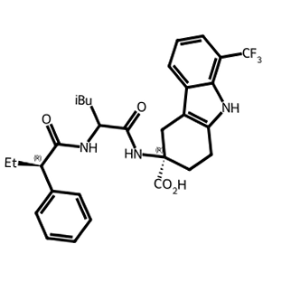 CCC(C)C(NC(=O)[C@H](CC)c1ccccc1)C(=O)N[C@]1(C(=O)O)CCc2[nH]c3c(C(F)(F)F)cccc3c2C1